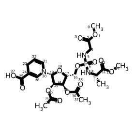 COC(=O)CNP(=O)(N[C@@H](C)C(=O)OC)OC[C@H]1O[C@@H](N2C=CCC(C(=O)O)=C2)[C@H](OC(C)=O)[C@@H]1OC(C)=O